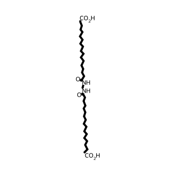 O=C(O)CCCCCCCCCCCCCCCCC(=O)NCNC(=O)CCCCCCCCCCCCCCCCC(=O)O